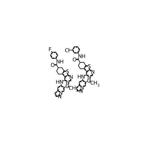 COc1cn2nccc2cc1Nc1ncnc2sc3c(c12)CCC(C(=O)Nc1ccc(F)cc1)C3.COc1cn2nccc2cc1Nc1ncnc2sc3c(c12)CCC(C(=O)Nc1cccc(Cl)c1)C3